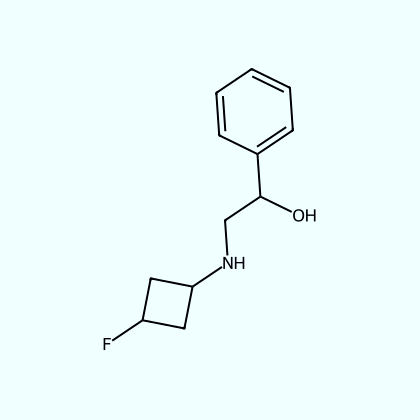 OC(CNC1CC(F)C1)c1ccccc1